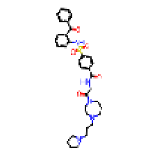 O=C(NCC(=O)N1CCCN(CCCN2CCCC2)CC1)c1ccc(S(=O)(=O)Nc2ccccc2C(=O)c2ccccc2)cc1